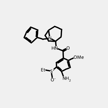 CC[S+]([O-])c1cc(C(=O)NC23CCCC(CC2)N3Cc2ccccc2)c(OC)cc1N